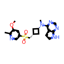 COc1cc(S(=O)(=O)C[C@H]2C[C@@H](N(C)c3ncnc4[nH]ccc34)C2)cnc1C